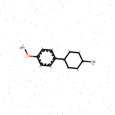 CCCOc1ccc(C2CCC(C#N)CC2)cc1